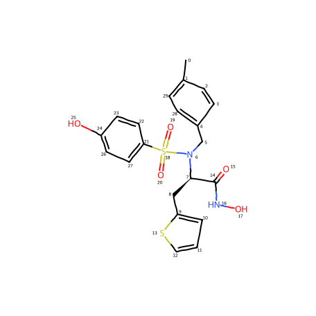 Cc1ccc(CN([C@H](Cc2cccs2)C(=O)NO)S(=O)(=O)c2ccc(O)cc2)cc1